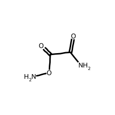 NOC(=O)C(N)=O